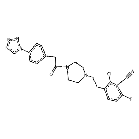 N#Cc1c(F)ccc(CCN2CCN(C(=O)Cc3ccc(-n4cnnn4)cc3)CC2)c1Cl